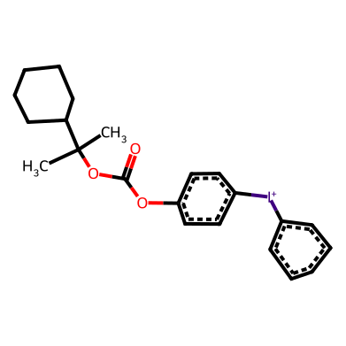 CC(C)(OC(=O)Oc1ccc([I+]c2ccccc2)cc1)C1CCCCC1